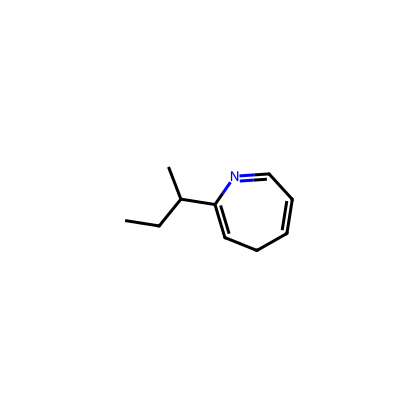 CCC(C)C1=CCC=CC=N1